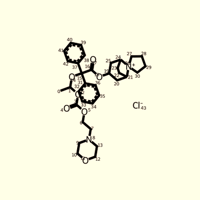 CC(OC(=O)OCCN1CCOCC1)OC(C(=O)OC1CC2CCC(C1)[N+]21CCCC1)(c1ccccc1)c1ccccc1.[Cl-]